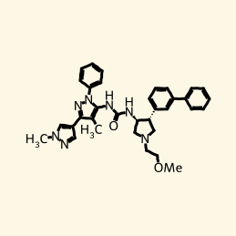 COCCN1C[C@@H](NC(=O)Nc2c(C)c(-c3cnn(C)c3)nn2-c2ccccc2)[C@H](c2cccc(-c3ccccc3)c2)C1